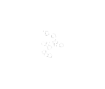 c1ccc(-c2nc(-c3cccc(-c4ccncc4)c3)cc(-c3ccc(-c4cccc5sc6ccccc6c45)c4c3oc3ccccc34)n2)cc1